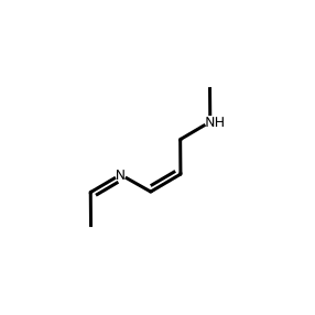 C/C=N\C=C/CNC